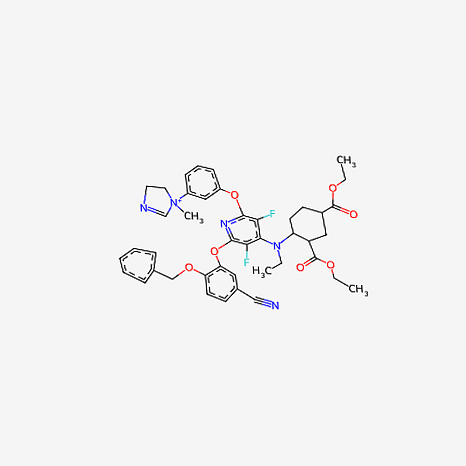 CCOC(=O)C1CCC(N(CC)c2c(F)c(Oc3cccc([N+]4(C)C=NCC4)c3)nc(Oc3cc(C#N)ccc3OCc3ccccc3)c2F)C(C(=O)OCC)C1